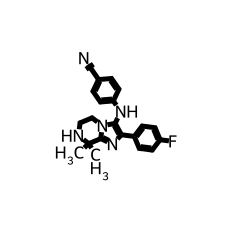 CC1(C)NCCn2c1nc(-c1ccc(F)cc1)c2Nc1ccc(C#N)cc1